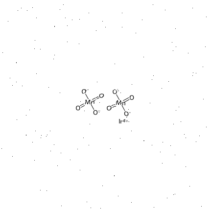 [Ir+4].[O]=[Mn](=[O])([O-])[O-].[O]=[Mn](=[O])([O-])[O-]